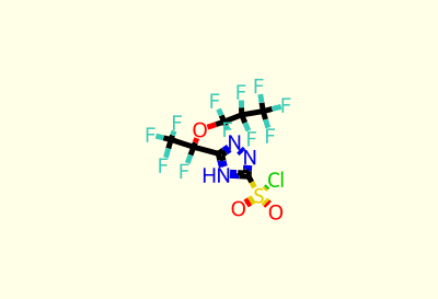 O=S(=O)(Cl)c1nnc(C(F)(OC(F)(F)C(F)(F)C(F)(F)F)C(F)(F)F)[nH]1